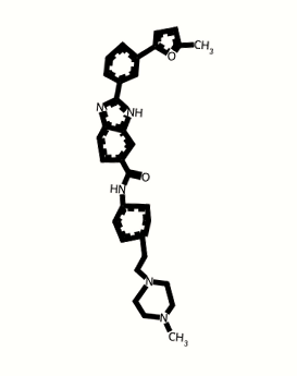 Cc1ccc(-c2cccc(-c3nc4ccc(C(=O)Nc5ccc(CCN6CCN(C)CC6)cc5)cc4[nH]3)c2)o1